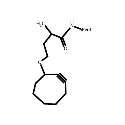 CCCC(C)NC(=O)C(C)CCOC1C#CCCCCC1